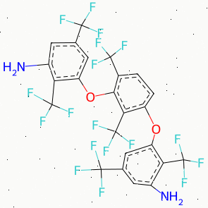 Nc1cc(C(F)(F)F)cc(Oc2ccc(C(F)(F)F)c(Oc3cc(C(F)(F)F)cc(N)c3C(F)(F)F)c2C(F)(F)F)c1C(F)(F)F